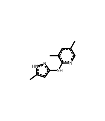 Cc1cnc(Nc2cc(C)[nH]n2)c(C)c1